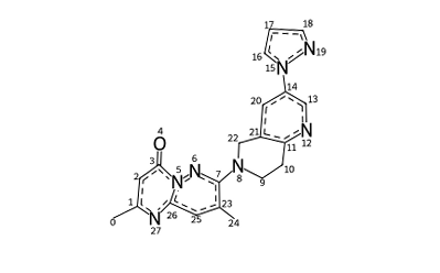 Cc1cc(=O)n2nc(N3CCc4ncc(-n5cccn5)cc4C3)c(C)cc2n1